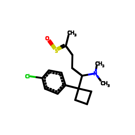 CC(CCC(N(C)C)C1(c2ccc(Cl)cc2)CCC1)=S=O